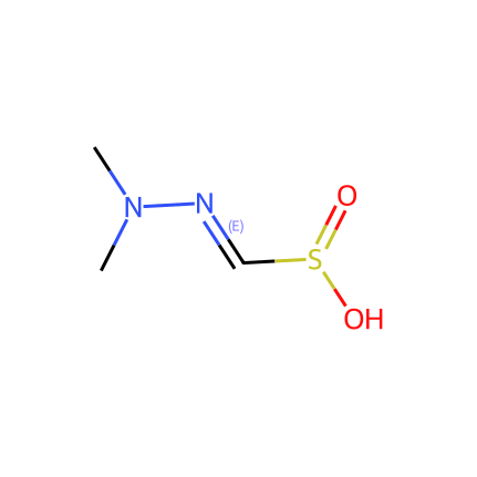 CN(C)/N=C/S(=O)O